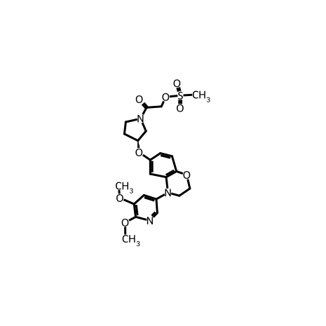 COc1cc(N2CCOc3ccc(O[C@H]4CCN(C(=O)COS(C)(=O)=O)C4)cc32)cnc1OC